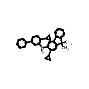 CC(C)N(c1cc(-c2ccccc2)ccc1C1CC1)c1cc2c(cc1C1CC1)C(C)(C)c1ccccc1-2